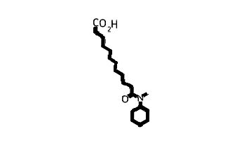 CN(C(=O)CCCCCCCCCCC(=O)O)C1CCCCC1